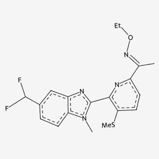 CCON=C(C)c1ccc(SC)c(-c2nc3cc(C(F)F)ccc3n2C)n1